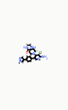 Cn1cc(-c2ccc(-c3cnc(N)c(Cl)c3N3CCC4(CC3)NCCNC4=O)cc2)cn1